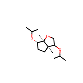 CC(C)OC1CO[C@]2(C)[C@@H](OC(C)C)CC[C@]12C